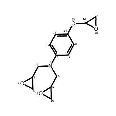 c1cc(N(CC2CO2)CC2CO2)ccc1OC1CO1